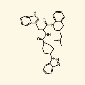 CN(C)C[C@@H]1Cc2ccccc2N(C(=O)C(Cc2c[nH]c3ccccc23)NC(=O)N2CCC(n3nnc4ccccc43)CC2)C1